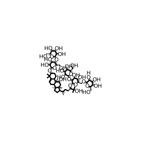 C[C@H](CC[C@@H](O[C@@H]1O[C@H](CO[C@@H]2O[C@H](CO)[C@@H](O)[C@H](O)[C@H]2O)[C@@H](O)[C@H](O)[C@H]1O[C@@H]1O[C@H](CO)[C@@H](O)[C@H](O)[C@H]1O)C(C)(C)O)C1CC[C@@]2(C)C3CC=C4C(CC[C@H](O[C@@H]5O[C@H](CO)[C@@H](O[C@@H]6O[C@H](CO)[C@@H](O)[C@H](O)[C@H]6O)[C@H](O)[C@H]5O)C4(C)C)[C@]3(C)[C@H](O)C[C@]12C